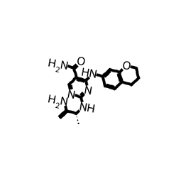 C=C(N)[C@@H](C)Nc1ncc(C(N)=O)c(Nc2ccc3c(c2)OCCC3)n1